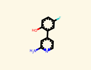 Nc1cc(-c2cc(F)ccc2O)ccn1